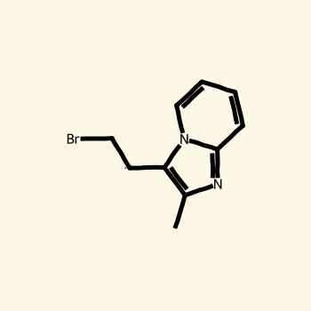 Cc1nc2ccccn2c1[CH]CBr